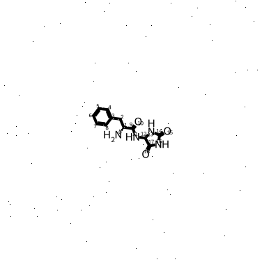 N[C@@H](Cc1ccccc1)C(=O)NC1NC(=O)NC1=O